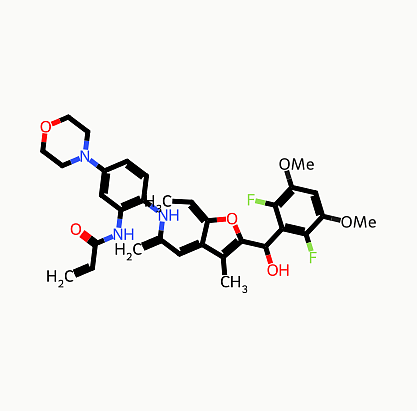 C=CC(=O)Nc1cc(N2CCOCC2)ccc1NC(=C)/C=c1/c(C)c(C(O)c2c(F)c(OC)cc(OC)c2F)o/c1=C/C